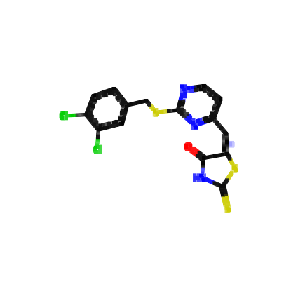 O=C1NC(=S)S/C1=C/c1ccnc(SCc2ccc(Cl)c(Cl)c2)n1